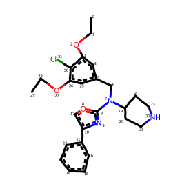 CCOc1cc(CN(c2nc(-c3ccccc3)co2)C2CCNCC2)cc(OCC)c1Cl